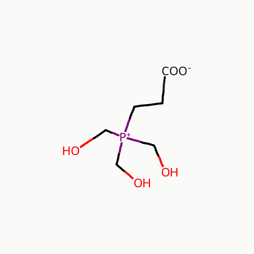 O=C([O-])CC[P+](CO)(CO)CO